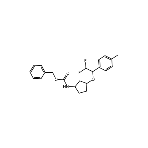 Cc1ccc(C(OC2CCC(NC(=O)OCc3ccccc3)C2)C(F)F)cc1